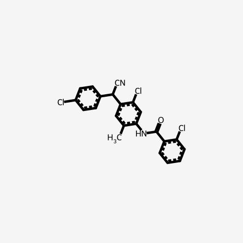 Cc1cc(C(C#N)c2ccc(Cl)cc2)c(Cl)cc1NC(=O)c1ccccc1Cl